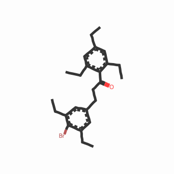 CCc1cc(CC)c(C(=O)CCc2cc(CC)c(Br)c(CC)c2)c(CC)c1